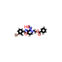 Cc1c(Br)cccc1-c1nc2/c(=N\O)n(CCOC(=O)c3ccccc3)ccc2o1